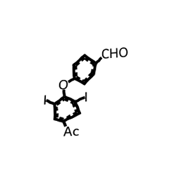 CC(=O)c1cc(I)c(Oc2ccc(C=O)cc2)c(I)c1